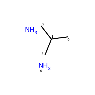 CC(C)C.N.N